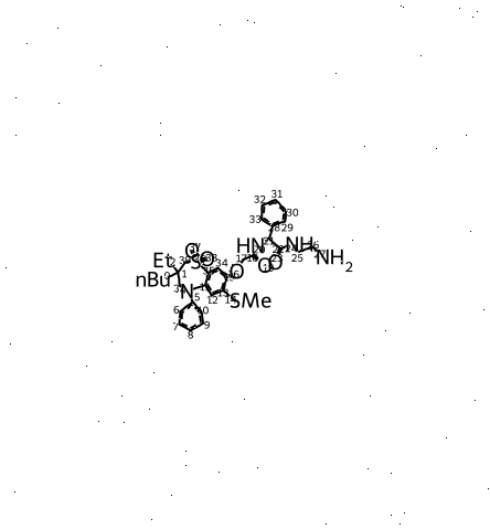 CCCCC1(CC)CN(c2ccccc2)c2cc(SC)c(OCC(=O)N[C@@H](C(=O)NCCN)c3ccccc3)cc2S(=O)(=O)C1